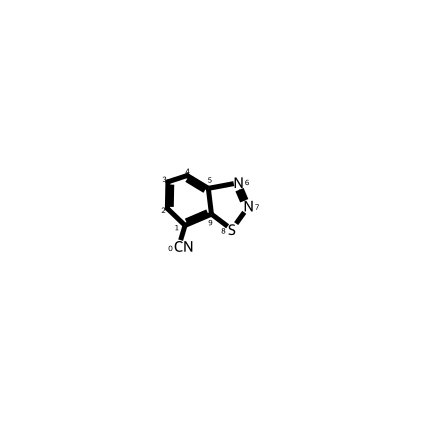 N#Cc1cccc2nnsc12